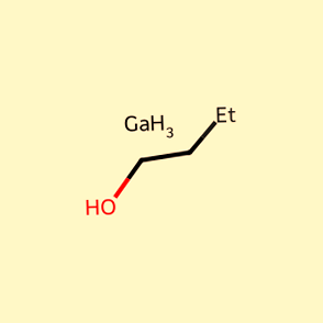 CCCCO.[GaH3]